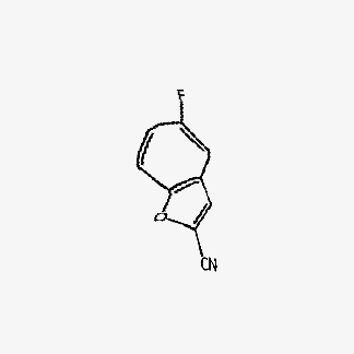 N#Cc1cc2cc(F)ccc2o1